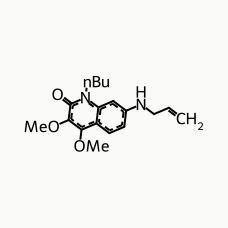 C=CCNc1ccc2c(OC)c(OC)c(=O)n(CCCC)c2c1